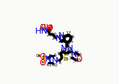 COS(=O)N1CCN(Cc2cc3nc(-c4cccc5nn(CCCC(=O)NO)cc45)nc(N4CCOCC4)c3s2)CC1